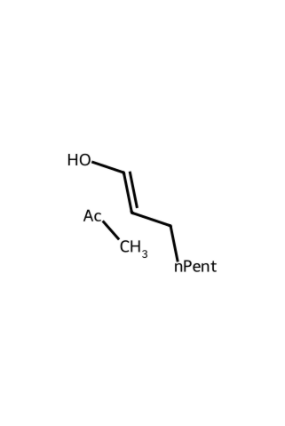 CC(C)=O.CCCCCC/C=C/O